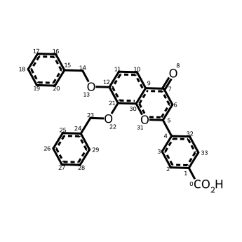 O=C(O)c1ccc(-c2cc(=O)c3ccc(OCc4ccccc4)c(OCc4ccccc4)c3o2)cc1